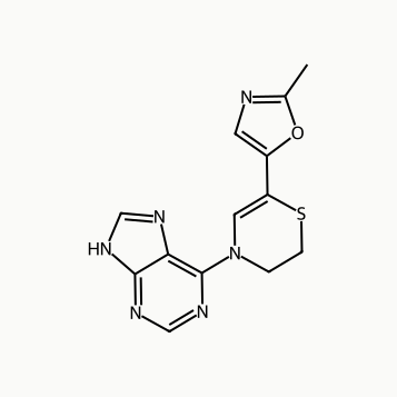 Cc1ncc(C2=CN(c3ncnc4[nH]cnc34)CCS2)o1